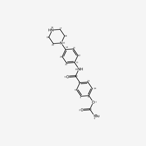 CC(C)(C)C(=O)Oc1ccc(C(=O)Nc2ccc(N3CCNCC3)cc2)cc1